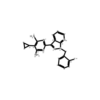 Nc1nc(-c2nn(Cc3ccccc3F)c3ncccc23)nc(N)c1C1CC1